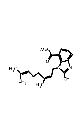 COC(=O)c1cccc2nc(C)n(CC=C(C)CCC=C(C)C)c12